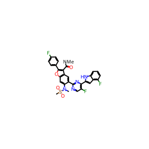 CNC(=O)c1c(-c2ccc(F)cc2)oc2cc(N(C)S(C)(=O)=O)c(-c3ncc(F)c(-c4cc5c(F)cccc5[nH]4)n3)cc12